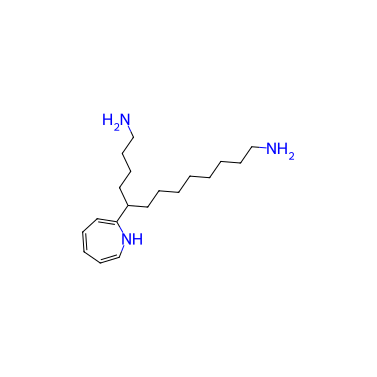 NCCCCCCCCC(CCCCN)C1=CC=CC=CN1